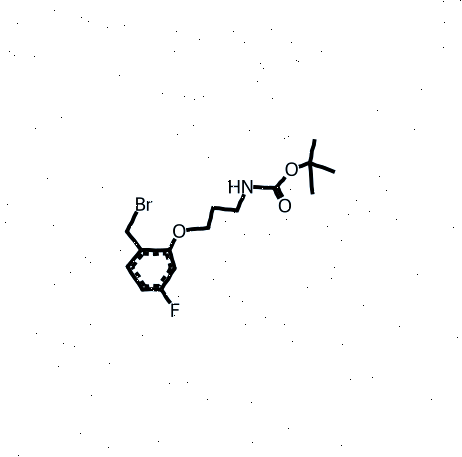 CC(C)(C)OC(=O)NCCCOc1cc(F)ccc1CBr